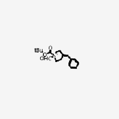 CC(C)(C)OC(=O)[N+]1(C=O)CCC(=Cc2ccccc2)CC1